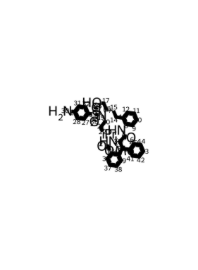 COC(=O)N[C@H](C(=O)Nc1ccccc1CC[C@@H](CO)N(CCC(C)C)S(=O)(=O)c1ccc(N)cc1)C(c1ccccc1)c1ccccc1